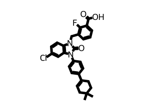 CC1(C)CC=C(c2ccc(-n3c(=O)n(Cc4cccc(C(=O)O)c4F)c4ccc(Cl)cc43)cc2)CC1